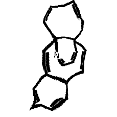 C1=CC2=CC34C=CC=CC3(C=CC=N4)C=CC2C=C1